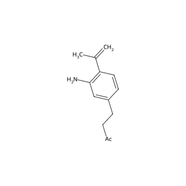 C=C(C)c1ccc(CCC(C)=O)cc1N